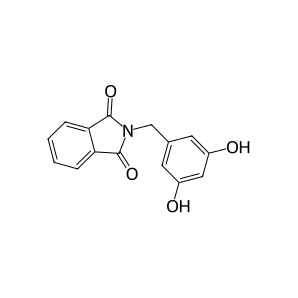 O=C1c2ccccc2C(=O)N1Cc1cc(O)cc(O)c1